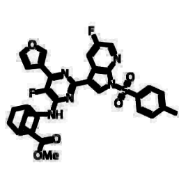 COC(=O)C1C2CCC(CC2)C1Nc1nc(-c2cn(S(=O)(=O)c3ccc(C)cc3)c3ncc(F)cc23)nc(-c2ccoc2)c1F